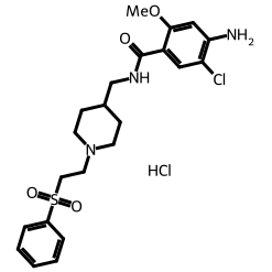 COc1cc(N)c(Cl)cc1C(=O)NCC1CCN(CCS(=O)(=O)c2ccccc2)CC1.Cl